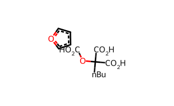 CCCCC(OC(=O)O)(C(=O)O)C(=O)O.c1ccoc1